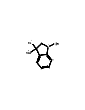 CC(C)(C)N1CC(C(C)(C)C)(C(C)(C)C)c2ccccc21